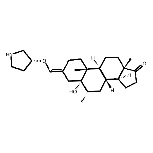 C[C@H]1C[C@H]2[C@@H]3CCC(=O)[C@@]3(C)CC[C@@H]2[C@@]2(C)CCC(=NO[C@@H]3CCNC3)C[C@]12O